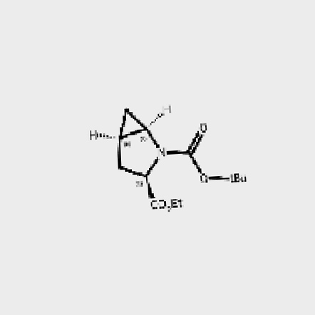 CCOC(=O)[C@H]1C[C@H]2C[C@H]2N1C(=O)OC(C)(C)C